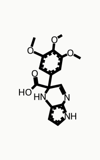 COc1cc(C2(C(=O)O)C=Nc3[nH]ccc3N2)cc(OC)c1OC